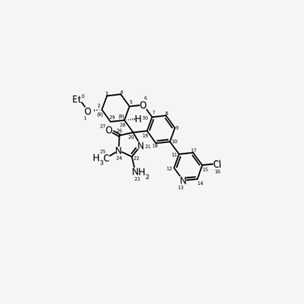 CCO[C@@H]1CCC2Oc3ccc(-c4cncc(Cl)c4)cc3C3(N=C(N)N(C)C3=O)[C@H]2C1